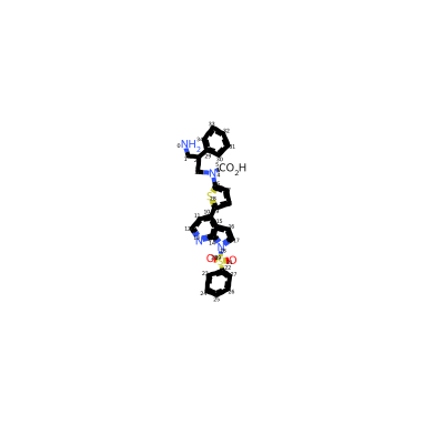 NCC(CN(C(=O)O)c1ccc(-c2ccnc3c2ccn3S(=O)(=O)c2ccccc2)s1)c1ccccc1